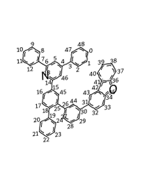 c1ccc(-c2cc(-c3ccccc3)nc(-c3ccc(-c4ccccc4)c(-c4cccc(-c5ccc6oc7ccccc7c6c5)c4)c3)c2)cc1